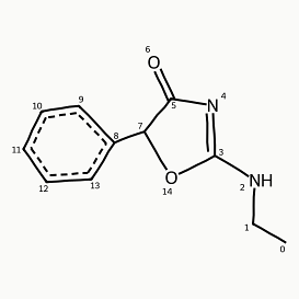 CCNC1=NC(=O)C(c2ccccc2)O1